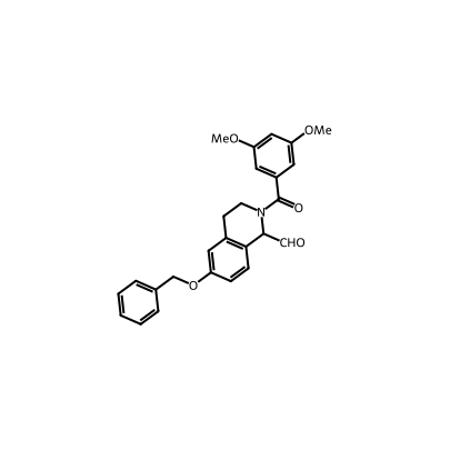 COc1cc(OC)cc(C(=O)N2CCc3cc(OCc4ccccc4)ccc3C2C=O)c1